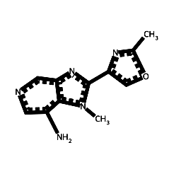 Cc1nc(-c2nc3cncc(N)c3n2C)co1